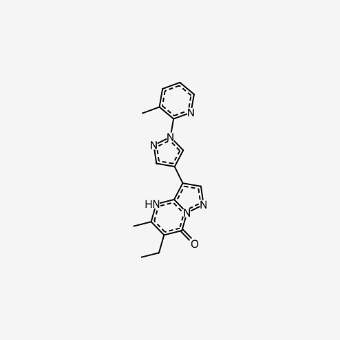 CCc1c(C)[nH]c2c(-c3cnn(-c4ncccc4C)c3)cnn2c1=O